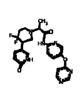 CC(C(=O)Nc1ccc(Oc2ccncn2)cn1)N1CCC(F)(F)C(c2ccc(=O)[nH]c2)C1